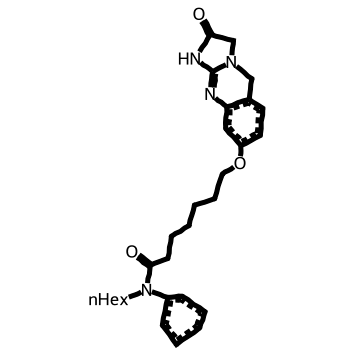 CCCCCCN(C(=O)CCCCCCOc1ccc2c(c1)N=C1NC(=O)CN1C2)c1ccccc1